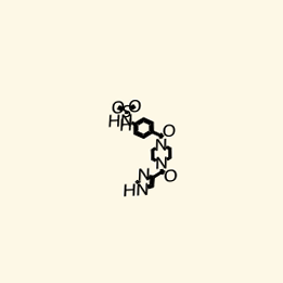 O=C(c1ccc(N[SH](=O)=O)cc1)N1CCN(C(=O)c2c[nH]cn2)CC1